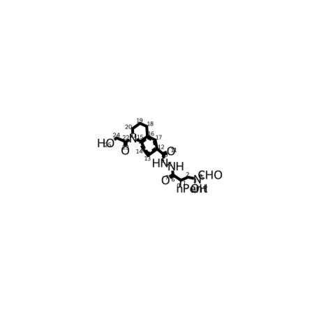 CCCCC[C@H](CN(O)C=O)C(=O)NNC(=O)c1ccc2c(c1)CCCN2C(=O)CO